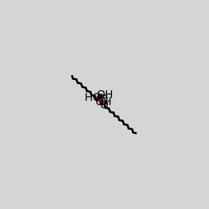 C=C.CCCCCCCCCCCCCCOCCCCCCCCCCCCCC.O=P(O)(O)O